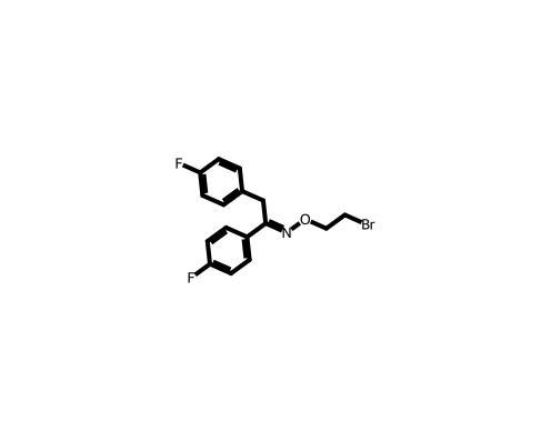 Fc1ccc(C/C(=N\OCCBr)c2ccc(F)cc2)cc1